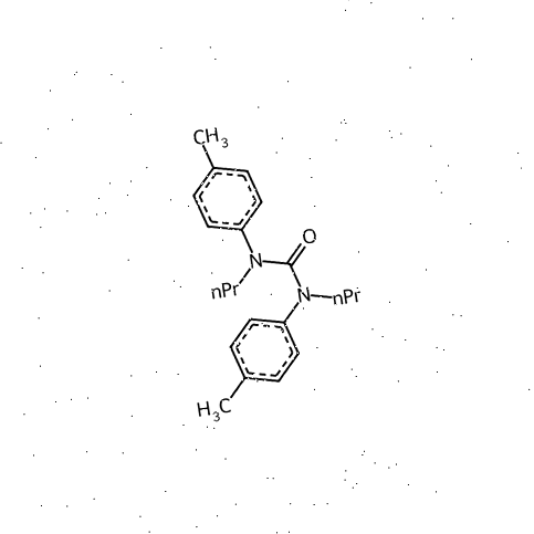 CCCN(C(=O)N(CCC)c1ccc(C)cc1)c1ccc(C)cc1